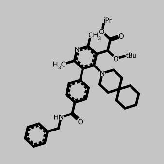 Cc1nc(C)c(C(OC(C)(C)C)C(=O)OC(C)C)c(N2CCC3(CCCCC3)CC2)c1-c1ccc(C(=O)NCc2ccccc2)cc1